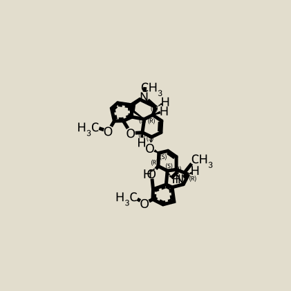 COc1ccc2c3c1O[C@H]1[C@@H](O[C@H]4C=C[C@H]5[C@H]6Cc7ccc(OC)c8c7[C@@]5(CCN6C)[C@H]4O8)C=C[C@H]4[C@@H](C2)N(C)CC[C@@]341